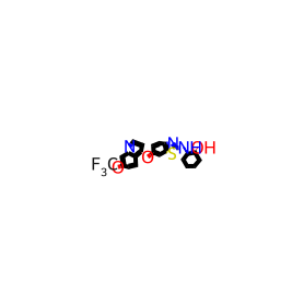 O[C@@H]1CCCC[C@H]1Nc1nc2ccc(Oc3ccnc4cc(OC(F)(F)F)ccc34)cc2s1